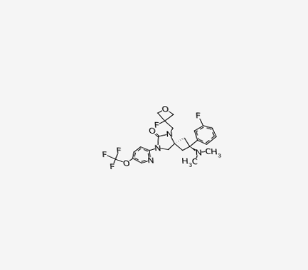 CN(C)[C@]1(c2cccc(F)c2)C[C@@]2(CN(c3ccc(OC(F)(F)F)cn3)C(=O)N2CC2(F)COC2)C1